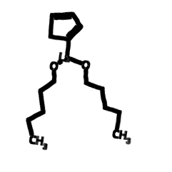 CCCCC[O][La]([O]CCCCC)[C]1=CC=CC1